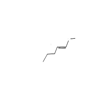 CCCC=CNC.Cl